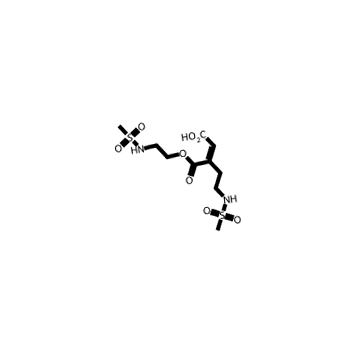 CS(=O)(=O)NCCOC(=O)C(=CC(=O)O)CCNS(C)(=O)=O